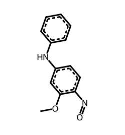 COc1cc(Nc2ccccc2)ccc1N=O